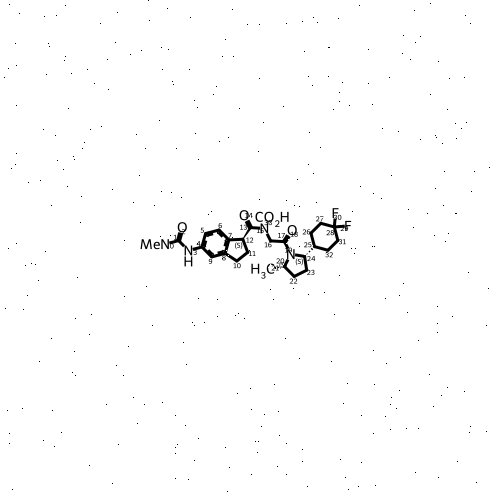 CNC(=O)Nc1ccc2c(c1)CC[C@@H]2C(=O)N(CC(=O)N1[C@@H](C)CC[C@H]1C1CCC(F)(F)CC1)C(=O)O